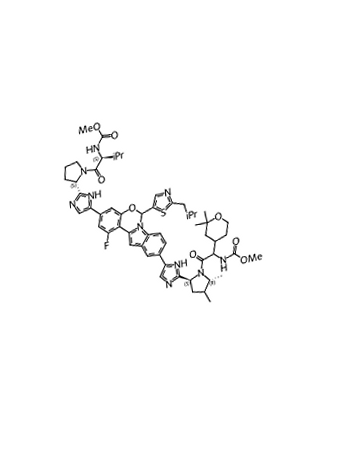 COC(=O)NC(C(=O)N1[C@H](C)C(C)C[C@H]1c1ncc(-c2ccc3c(c2)cc2n3C(c3cnc(CC(C)C)s3)Oc3cc(-c4cnc([C@@H]5CCCN5C(=O)[C@@H](NC(=O)OC)C(C)C)[nH]4)cc(F)c3-2)[nH]1)C1CCOC(C)(C)C1